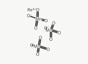 [O]=[Mn](=[O])(=[O])[O-].[O]=[Mn](=[O])(=[O])[O-].[O]=[Mn](=[O])(=[O])[O-].[Re+3]